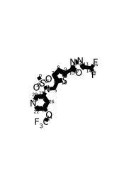 CS(=O)(=O)N(Cc1ccc(-c2nnc(C(F)F)o2)s1)c1cncc(OC(F)(F)F)c1